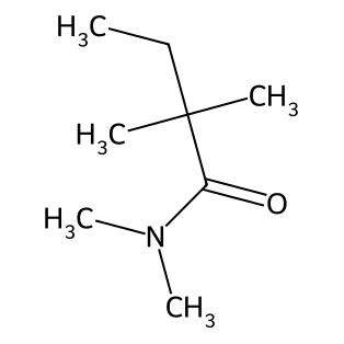 CCC(C)(C)C(=O)N(C)C